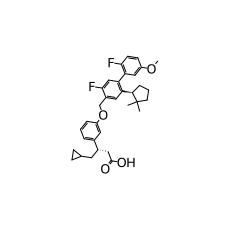 COc1ccc(F)c(-c2cc(F)c(COc3cccc([C@H](CC(=O)O)CC4CC4)c3)cc2[C@H]2CCCC2(C)C)c1